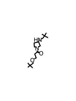 CC(C)(C)CN[C@@H]1CCN(C(=O)CCOCC(C)(C)C)C1